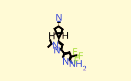 CC(C)n1nc(-c2cnc(N)c(C(F)(F)F)c2)cc1[C@H]1[C@@H]2C[C@H](C#N)C[C@@H]21